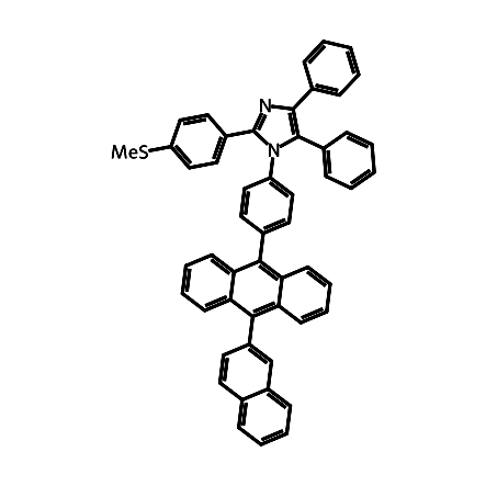 CSc1ccc(-c2nc(-c3ccccc3)c(-c3ccccc3)n2-c2ccc(-c3c4ccccc4c(-c4ccc5ccccc5c4)c4ccccc34)cc2)cc1